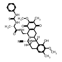 COC1=C(C)C(=O)C2=C(C1=O)[C@H](CNC(=O)[C@H](C)NC(=S)Nc1ccccc1)N1C(C2)[C@H]2N[C@H](Cc3cc(C)c(OC)c(O)c32)[C@@H]1C#N